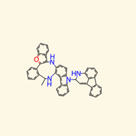 CC1Nc2c(ccc3c2c2ccccc2n3C2C=C3c4ccccc4-c4cccc(c43)N2)Nc2c(oc3ccccc23)-c2ccccc21